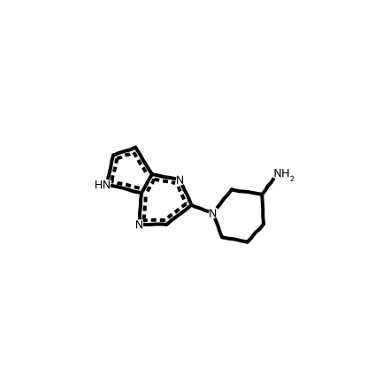 NC1CCCN(c2cnc3[nH]ccc3n2)C1